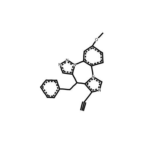 C#Cc1ncn2c1C(Cc1ccccc1)c1cnnn1-c1cc(OC)ccc1-2